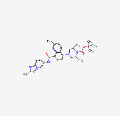 Cc1ccc2c(N3CC(C)N(C(=O)OC(C)(C)C)C(C)C3)ccc(C(=O)Nc3cc(F)c4nc(C)cn4c3)c2n1